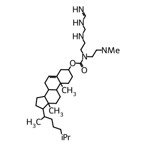 CNCCN(CCNCNC=N)C(=O)OC1CCC2(C)C(=CCC3C2CCC2(C)C(C(C)CCCC(C)C)CCC32)C1